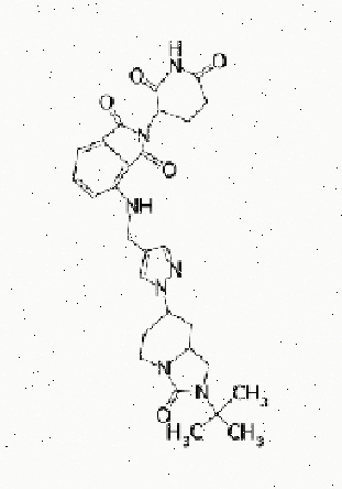 CC(C)(C)N1CC2CC(n3cc(CNc4cccc5c4C(=O)N(C4CCC(=O)NC4=O)C5=O)cn3)CCN2C1=O